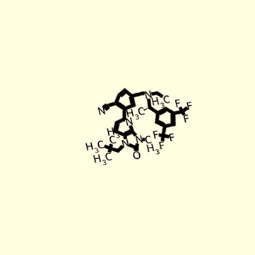 CCN(Cc1ccc(C#N)c(-c2ccc3c(n2)n(C)c(=O)n3CC(C)(C)C)c1)[C@@H](C)c1cc(C(F)(F)F)cc(C(F)(F)F)c1